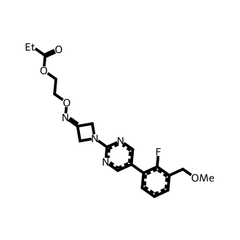 CCC(=O)OCCON=C1CN(c2ncc(-c3cccc(COC)c3F)cn2)C1